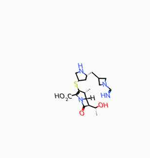 C[C@@H](O)[C@H]1C(=O)N2C(C(=O)O)=C(S[C@@H]3CN[C@H](CC4CN(C=N)C4)C3)[C@H](C)[C@H]12